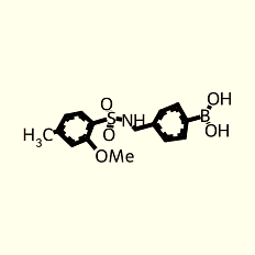 COc1cc(C)ccc1S(=O)(=O)NCc1ccc(B(O)O)cc1